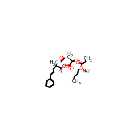 C1CO1.C=C(C)C(=O)[O-].C=C(CC=Cc1ccccc1)C(=O)O.C=CC(=O)OCCCC.[Na+]